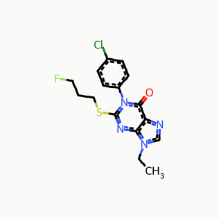 CCn1cnc2c(=O)n(-c3ccc(Cl)cc3)c(SCCCF)nc21